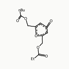 CCCCC(=O)OCc1cc(=O)cc(COC(=O)CC)o1